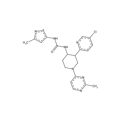 Cc1cc(NC(=O)NC2CCN(c3ccnc(C)n3)CC2c2ccc(Cl)cn2)sn1